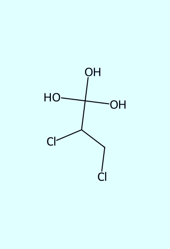 OC(O)(O)C(Cl)CCl